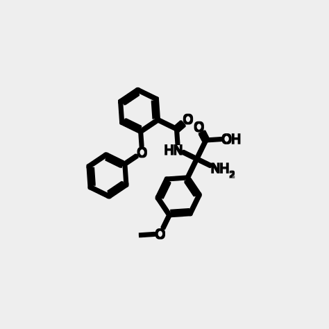 COc1ccc(C(N)(NC(=O)c2ccccc2Oc2ccccc2)C(=O)O)cc1